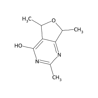 Cc1nc(O)c2c(n1)C(C)OC2C